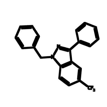 FC(F)(F)c1ccc2c(c1)c(-c1ccccc1)nn2Cc1ccccc1